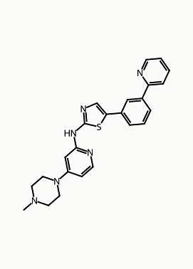 CN1CCN(c2ccnc(Nc3ncc(-c4cccc(-c5ccccn5)c4)s3)c2)CC1